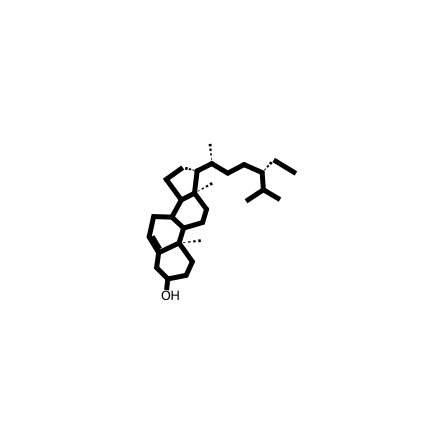 CC[C@@H](CC[C@@H](C)[C@H]1CCC2C3CC=C4CC(O)CC[C@]4(C)C3CC[C@@]21C)C(C)C